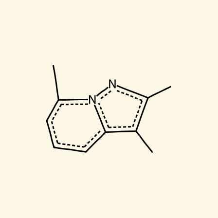 Cc1nn2c(C)cccc2c1C